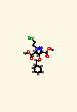 COC(=O)c1nn(CCBr)c(C(=O)OC)c1OCc1ccccc1